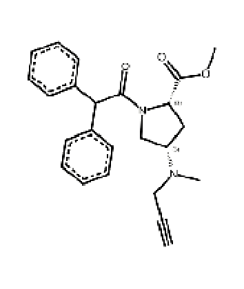 C#CCN(C)[C@H]1C[C@@H](C(=O)OC)N(C(=O)C(c2ccccc2)c2ccccc2)C1